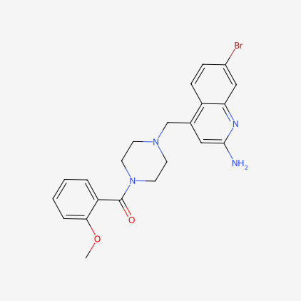 COc1ccccc1C(=O)N1CCN(Cc2cc(N)nc3cc(Br)ccc23)CC1